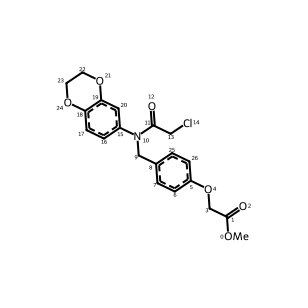 COC(=O)COc1ccc(CN(C(=O)CCl)c2ccc3c(c2)OCCO3)cc1